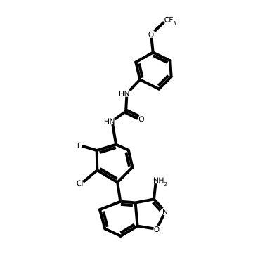 Nc1noc2cccc(-c3ccc(NC(=O)Nc4cccc(OC(F)(F)F)c4)c(F)c3Cl)c12